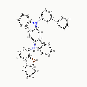 c1ccc(-c2cccc(-n3c4ccccc4c4cc5c(cc43)c3ccccc3n5-c3cccc4c3sc3ccccc34)c2)cc1